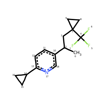 C[C](CC1(C(F)(F)F)CC1)c1ccc(C2CC2)nc1